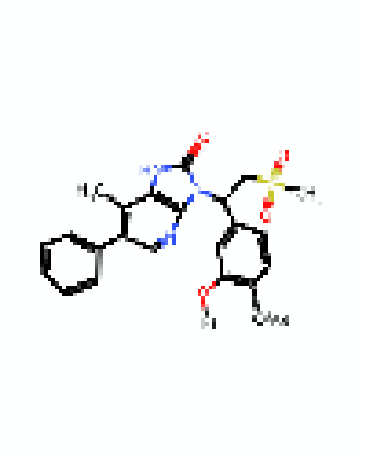 CCOc1cc([C@H](CS(C)(=O)=O)n2c(=O)[nH]c3c(C)c(-c4ccccc4)cnc32)ccc1OC